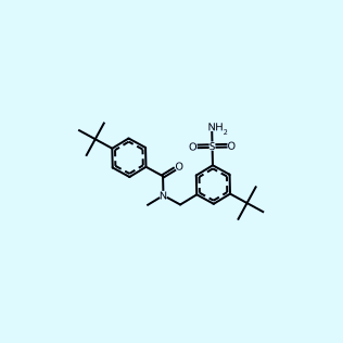 CN(Cc1cc(C(C)(C)C)cc(S(N)(=O)=O)c1)C(=O)c1ccc(C(C)(C)C)cc1